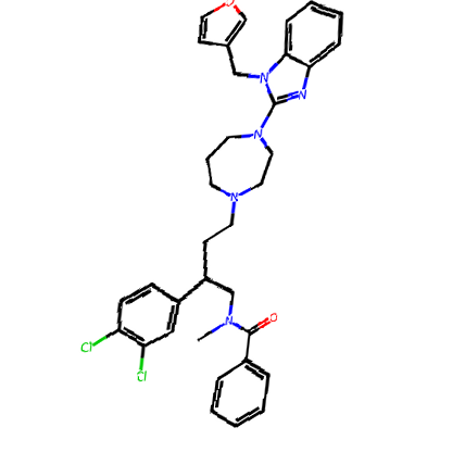 CN(CC(CCN1CCCN(c2nc3ccccc3n2Cc2ccoc2)CC1)c1ccc(Cl)c(Cl)c1)C(=O)c1ccccc1